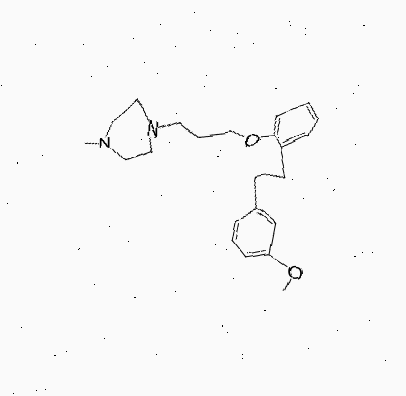 COc1cccc(CCc2ccccc2OCCCN2CCN(C)CC2)c1